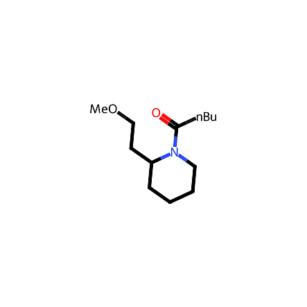 CCCCC(=O)N1CCCCC1CCOC